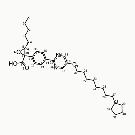 CCCCC[C@@H]1O[C@]1(C(=O)O)c1ccc(-c2ncc(OCCCCCCCCC3CCCC3)cn2)cc1